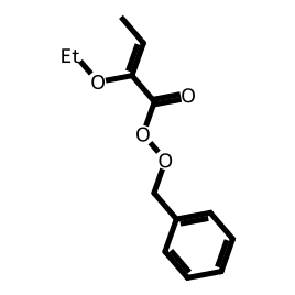 CC=C(OCC)C(=O)OOCc1ccccc1